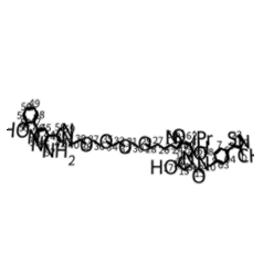 Cc1ncsc1-c1ccc(CNC(=O)[C@@H]2C[C@@H](O)CN2C(=O)[C@@H](c2cc(CCCOCCOCCOCCOCCn3cc(-c4cc(-c5ccccc5O)nnc4N)cn3)no2)C(C)C)cc1